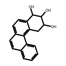 OC1Cc2c(ccc3ccc4ccccc4c23)C(O)C1O